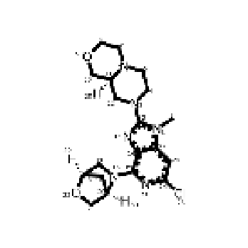 Cn1c(N2CCN3CCOC[C@@H]3C2)nc2c(N3C[C@H]4C[C@@H]3CO4)nc(Cl)cc21